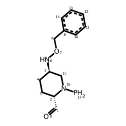 O=C[C@@H]1CC[C@@H](NOCc2ccccc2)CN1P